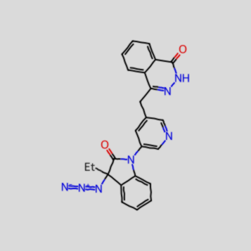 CCC1(N=[N+]=[N-])C(=O)N(c2cncc(Cc3n[nH]c(=O)c4ccccc34)c2)c2ccccc21